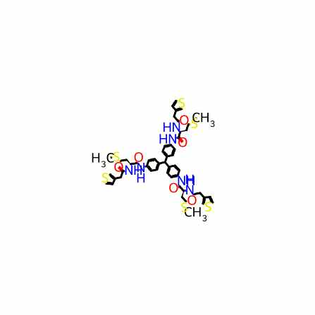 CSCC[C@H](NC(=O)Cc1ccsc1)C(=O)Nc1ccc(C(c2ccc(NC(=O)[C@H](CCSC)NC(=O)Cc3ccsc3)cc2)c2ccc(NC(=O)[C@H](CCSC)NC(=O)Cc3ccsc3)cc2)cc1